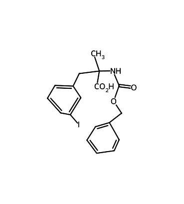 CC(Cc1cccc(I)c1)(NC(=O)OCc1ccccc1)C(=O)O